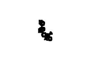 CC1(C)C(=O)N(C2CC2)c2cc(-c3ncc(-c4cccnc4)o3)ccc21